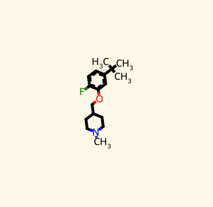 CN1CCC(COc2cc(C(C)(C)C)ccc2F)CC1